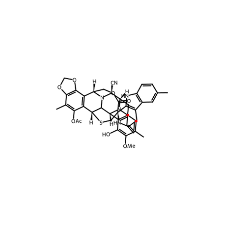 C=CCN1[C@@H]2c3c(cc(C)c(OC)c3O)C[C@H]1[C@H](C#N)N1C2[C@@H]2SC[C@]3(NCCc4c3[nH]c3ccc(C)cc43)C(=O)OC[C@H]1c1c3c(c(C)c(OC(C)=O)c12)OCO3